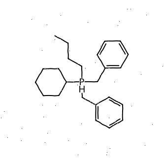 CCCC[PH](Cc1ccccc1)(Cc1ccccc1)C1CCCCC1